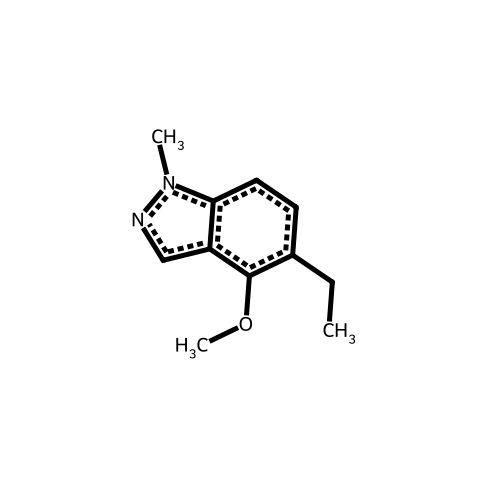 CCc1ccc2c(cnn2C)c1OC